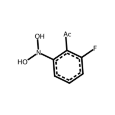 CC(=O)c1c(F)cccc1N(O)O